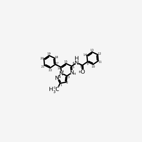 Cc1cc2nc(NC(=O)c3ccccc3)cc(-c3ccccc3)n2n1